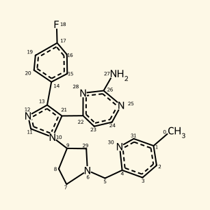 Cc1ccc(CN2CCC(n3cnc(-c4ccc(F)cc4)c3-c3ccnc(N)n3)C2)nc1